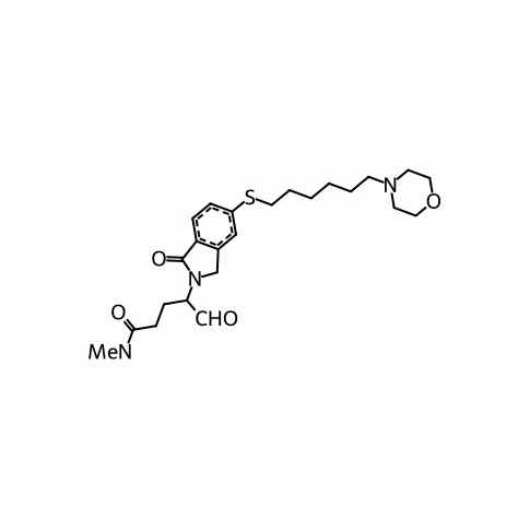 CNC(=O)CCC(C=O)N1Cc2cc(SCCCCCCN3CCOCC3)ccc2C1=O